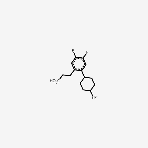 CCCC1CCC(c2cc(F)c(F)cc2CCC(=O)O)CC1